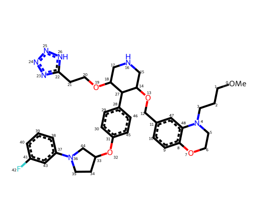 COCCCN1CCOc2ccc(COC3CNCC(OCCc4nnn[nH]4)C3c3ccc(OC4CCN(c5cccc(F)c5)C4)cc3)cc21